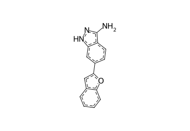 Nc1n[nH]c2cc(-c3cc4ccccc4o3)ccc12